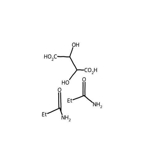 CCC(N)=O.CCC(N)=O.O=C(O)C(O)C(O)C(=O)O